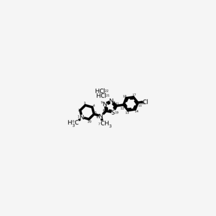 CN1CCCC(N(C)c2nnc(-c3ccc(Cl)cc3)s2)C1.Cl.Cl